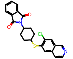 O=C1c2ccccc2C(=O)N1C1CCC(Sc2cc3ccncc3cc2Cl)CC1